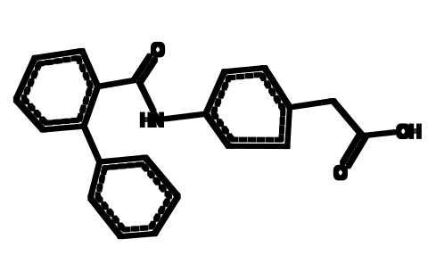 O=C(O)Cc1ccc(NC(=O)c2ccccc2-c2ccccc2)cc1